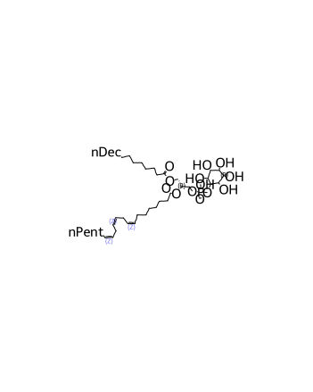 CCCCC/C=C\C/C=C\C/C=C\CCCCCCC(=O)O[C@H](COC(=O)CCCCCCCCCCCCCCCCC)COP(=O)(O)OC1C(O)C(O)C(O)[C@@H](O)C1O